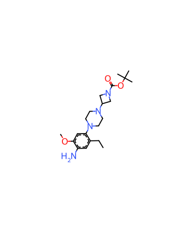 CCc1cc(N)c(OC)cc1N1CCN(C2CN(C(=O)OC(C)(C)C)C2)CC1